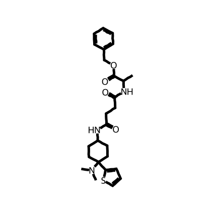 CC(NC(=O)CCC(=O)NC1CCC(c2cccs2)(N(C)C)CC1)C(=O)OCc1ccccc1